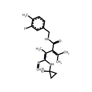 C=N/C(NC1(C)CC1)=C(\C)C(C(=O)NCc1ccc(C)c(F)c1)=C(C)C